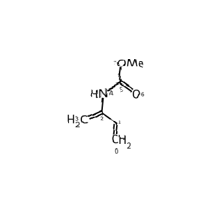 C=CC(=C)NC(=O)OC